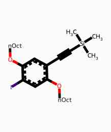 CCCCCCCCOc1cc(C#C[Si](C)(C)C)c(OCCCCCCCC)cc1I